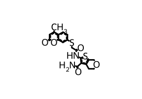 Cc1cc(=O)oc2cc(SCC(=O)Nc3sc4c(c3C(N)=O)CCOC4)ccc12